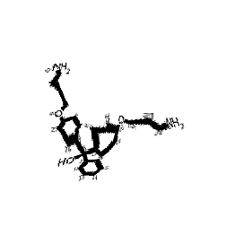 NCCCOc1ccc(C(O)(c2ccccc2)c2ccc(OCCCN)cc2)cc1